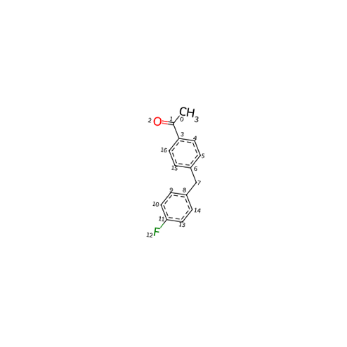 CC(=O)c1ccc(Cc2ccc(F)cc2)cc1